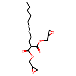 CCCCCCCCCC(C(=O)OCC1CO1)C(=O)OCC1CO1